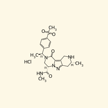 CNC(=O)[C@@H]1CN([C@@H](C)c2ccc(S(C)(=O)=O)cc2)C(=O)c2c3c(nn21)C[C@@H](C)NC3.Cl